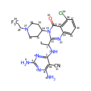 CC(Nc1nc(N)nc(N)c1C#N)c1nc2cccc(Cl)c2c(=O)n1C1CCN(CC(F)(F)F)CC1